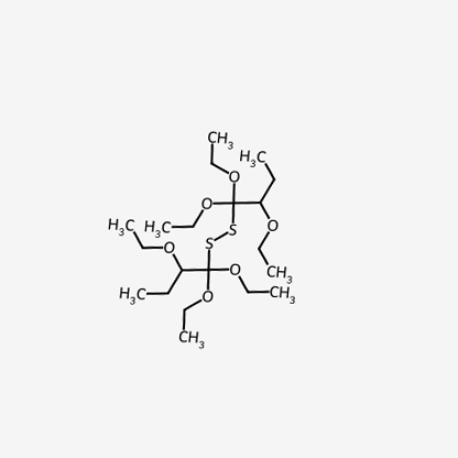 CCOC(CC)C(OCC)(OCC)SSC(OCC)(OCC)C(CC)OCC